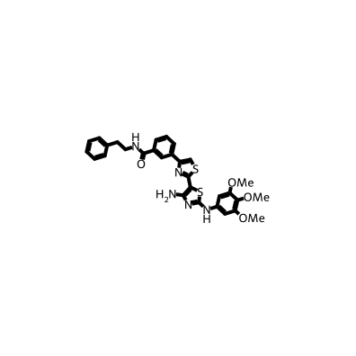 COc1cc(Nc2nc(N)c(-c3nc(-c4cccc(C(=O)NCCc5ccccc5)c4)cs3)s2)cc(OC)c1OC